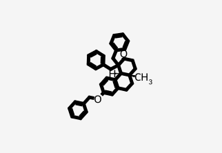 C[C@]12CCC(=O)C(Cc3ccccc3)(Cc3ccccc3)[C@@H]1c1ccc(OCc3ccccc3)cc1CC2